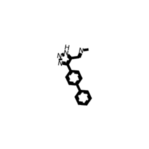 C/N=C/c1[nH]nnc1-c1ccc(-c2ccccc2)cc1